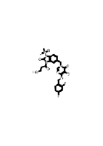 CS(=O)(=O)n1c(=O)n(C(=O)CCO)c2cc(Cn3cnc(OCc4ccc(F)cc4F)c(Cl)c3=O)ccc21